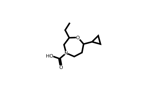 CCC1CN(C(=O)O)CCC(C2CC2)O1